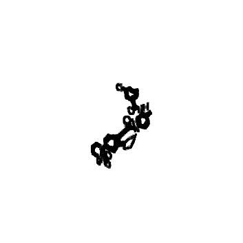 Cc1ccc(NC(=O)c2ccc(N3CCCN(C)S3(=O)=O)cc2Cl)cc1NC(=O)c1cccc(Cl)c1